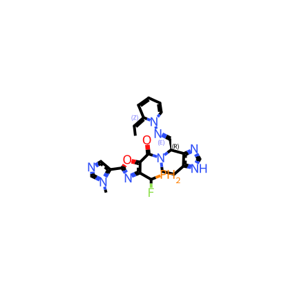 C/C=C1/C=CC=CN1/N=C/[C@H]1c2nc[nH]c2CCN1C(=O)c1oc(-c2cncn2C)nc1C(F)P